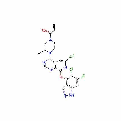 C=CC(=O)N1CCN(c2ncnc3c(Oc4c(Cl)c(F)cc5[nH]ncc45)nc(Cl)cc23)[C@@H](C)C1